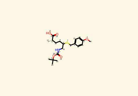 COc1ccc(CSC(CC[C@H](C)C(=O)O)CNC(=O)OC(C)(C)C)cc1